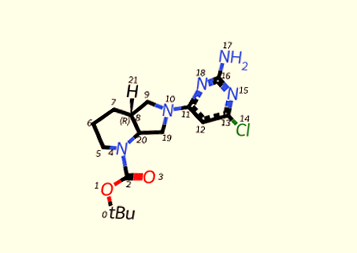 CC(C)(C)OC(=O)N1CCC[C@@H]2CN(c3cc(Cl)nc(N)n3)CC21